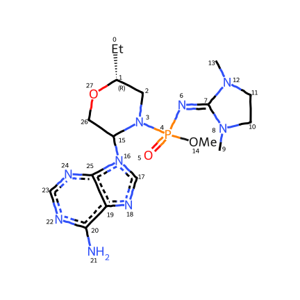 CC[C@@H]1CN(P(=O)(N=C2N(C)CCN2C)OC)C(n2cnc3c(N)ncnc32)CO1